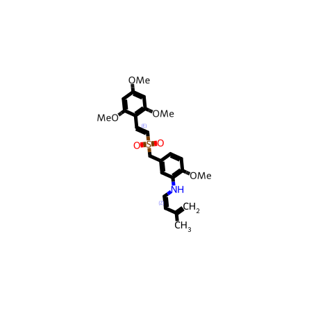 C=C(C)/C=C\Nc1cc(CS(=O)(=O)/C=C/c2c(OC)cc(OC)cc2OC)ccc1OC